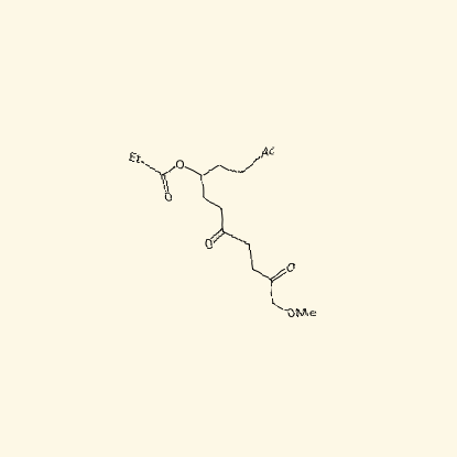 CCC(=O)OC(CCC(C)=O)CCC(=O)CCC(=O)COC